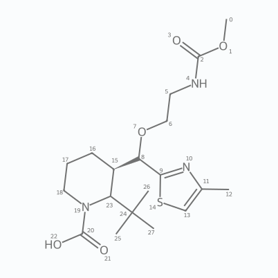 COC(=O)NCCOC(c1nc(C)cs1)[C@@H]1CCCN(C(=O)O)C1C(C)(C)C